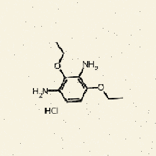 CCOc1ccc(N)c(OCC)c1N.Cl